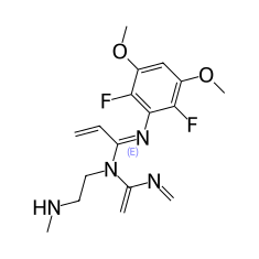 C=C/C(=N\c1c(F)c(OC)cc(OC)c1F)N(CCNC)C(=C)N=C